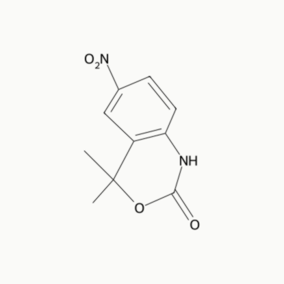 CC1(C)OC(=O)Nc2ccc([N+](=O)[O-])cc21